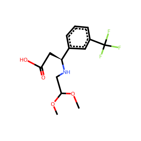 COC(CN[C@@H](CC(=O)O)c1cccc(C(F)(F)F)c1)OC